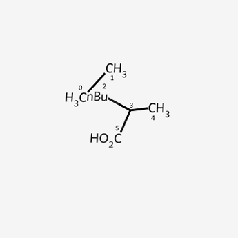 CC.CCCCC(C)C(=O)O